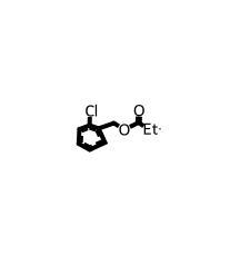 C[CH]C(=O)OCc1ccccc1Cl